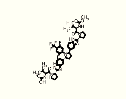 COC(=O)N[C@H](C(=O)N1CCC[C@H]1c1nc2cc(C3CC[C@H](c4ccc5[nH]c([C@@H]6CCCN6C(=O)[C@@H](NC(=O)O)C(C)C)nc5c4)N3c3cc(F)c(C(F)(F)F)cc3F)ccc2[nH]1)C(C)C